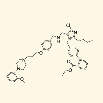 CCCCc1nc(Cl)c(CNCc2ccc(OCCCN3CCN(c4ccccc4OC)CC3)cc2)n1Cc1ccc(-c2ccccc2C(=O)OCC)cc1